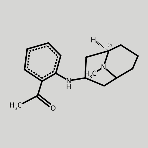 CC(=O)c1ccccc1NC1CC2CCC[C@H](C1)N2C